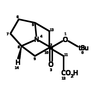 CC(C)(C)OC(=O)N1C2CC[C@H]1CC(CC(=O)O)C2